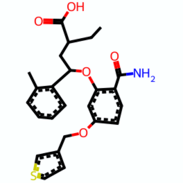 CCC(CC(Oc1cc(OCc2ccsc2)ccc1C(N)=O)c1ccccc1C)C(=O)O